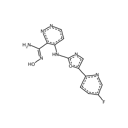 NC(=NO)c1nnccc1Nc1ncc(-c2ccc(F)cn2)o1